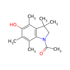 CC(=O)N1CC(C)(C)c2c(C)c(O)c(C)c(C)c21